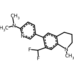 CN(C)c1ccc(-c2cc3c(cc2C(F)F)N(C)CCC3)cn1